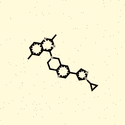 Cc1ccc2nc(C)nc(N3CCc4ncc(-c5cnn(C6CC6)c5)cc4C3)c2c1